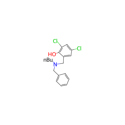 CCCCN(Cc1ccccc1)Cc1cc(Cl)cc(Cl)c1O